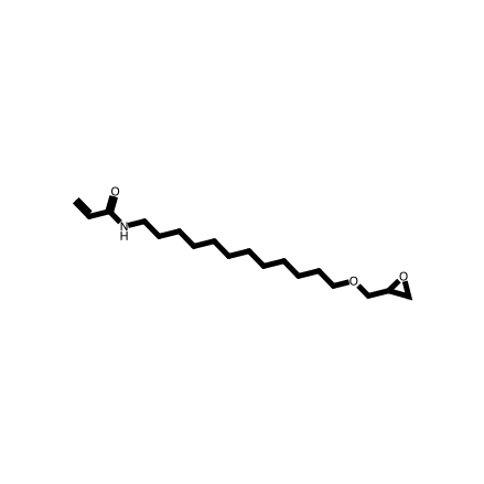 C=CC(=O)NCCCCCCCCCCCCOCC1CO1